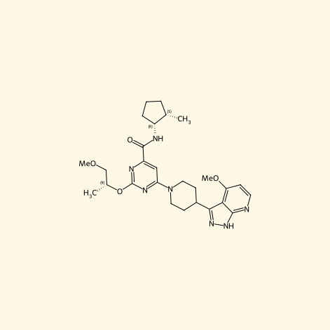 COC[C@@H](C)Oc1nc(C(=O)N[C@@H]2CCC[C@@H]2C)cc(N2CCC(c3n[nH]c4nccc(OC)c34)CC2)n1